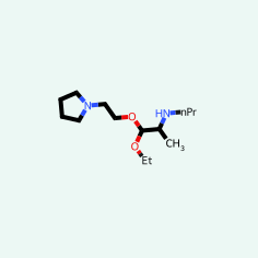 CCCNC(C)C(OCC)OCCN1CCCC1